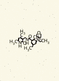 CCc1cc(C(=O)NCc2c(C)cc(C)[nH]c2=O)c(C)c(N(CC)C2CCOCC2)c1